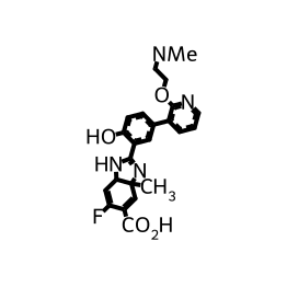 CNCCOc1ncccc1-c1ccc(O)c(C2=NC3(C)C=C(C(=O)O)C(F)=CC3N2)c1